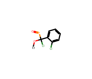 CCOC(Cl)(P=O)c1ccccc1Cl